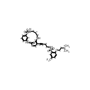 CN(C)CCOc1ccc(C(F)(F)F)cc1S(=O)(=O)NCCC#Cc1cnc2nc1NCCCNS(=O)(=O)c1cccc(c1)N2